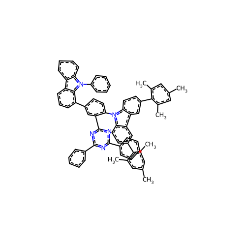 Cc1cc(C)c(-c2ccc3c(c2)c2cc(-c4c(C)cc(C)cc4C)ccc2n3-c2ccc(-c3cccc4c5ccccc5n(-c5ccccc5)c34)cc2-c2nc(-c3ccccc3)nc(-c3ccccc3)n2)c(C)c1